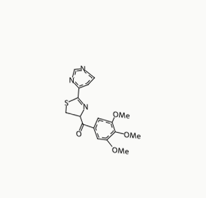 COc1cc(C(=O)C2CSC(c3ccncn3)=N2)cc(OC)c1OC